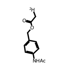 [2H]CC(=O)OCc1ccc(NC(C)=O)cc1